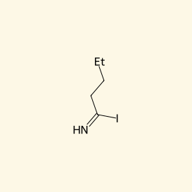 CCCCC(=N)I